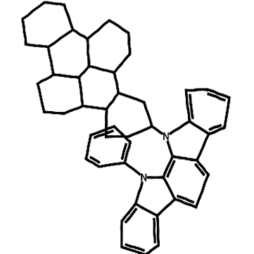 c1ccc(-n2c3ccccc3c3ccc4c5ccccc5n(C5CCC6C(C5)C5CCCC7C8CCCCC8C8CCCC6C8C75)c4c32)cc1